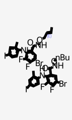 C/C=C/CONC(=O)c1cc(Br)c(F)c(F)c1Nc1ccc(I)cc1C.CCCCONC(=O)c1cc(Br)c(F)c(F)c1Nc1ccc(I)cc1C